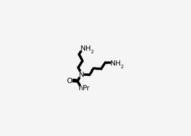 CCCC(=O)N(CCCN)CCCCN